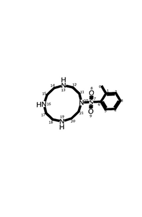 Cc1ccccc1S(=O)(=O)N1CCNCCNCCNCC1